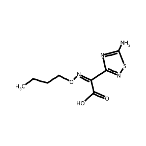 CCCCO/N=C(\C(=O)O)c1nsc(N)n1